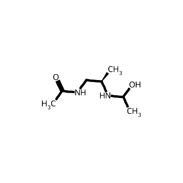 CC(=O)NC[C@@H](C)NC(C)O